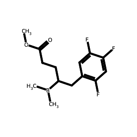 COC(=O)CCC(Cc1cc(F)c(F)cc1F)B(C)C